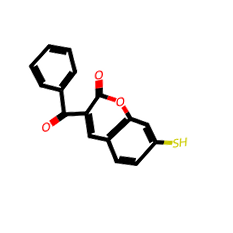 O=C(c1ccccc1)c1cc2ccc(S)cc2oc1=O